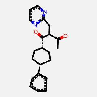 CC(=O)C(Cc1ncccn1)C(=O)[C@H]1CC[C@H](c2ccccc2)CC1